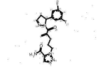 C=C(CCCn1nncc1C(N)=O)C(=O)N1N=CCC1c1cc(F)cc(F)c1